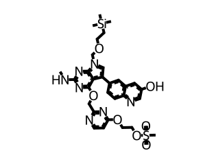 CNc1nc(OCc2nccc(OCCOS(C)(=O)=O)n2)c2c(-c3ccc4ncc(O)cc4c3)cn(COCC[Si](C)(C)C)c2n1